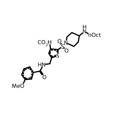 CCCCCCCCNC1CCN(S(=O)(=O)c2sc(CNC(=O)c3cccc(OC)c3)cc2C(=O)O)CC1